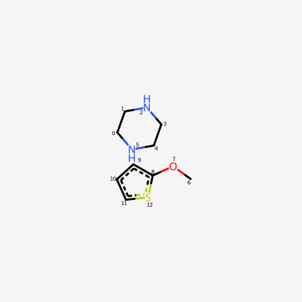 C1CNCCN1.COc1cccs1